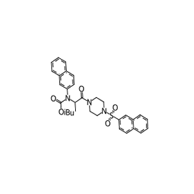 CC(C)COC(=O)N(c1ccc2ccccc2c1)C(C)C(=O)N1CCN(S(=O)(=O)c2ccc3ccccc3c2)CC1